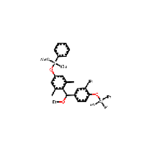 CCOC(c1ccc(O[Si](C(C)C)(C(C)C)C(C)C)c(C(C)C)c1)c1c(C)cc(O[Si](OC)(c2ccccc2)C(C)(C)C)cc1C